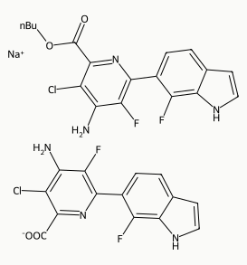 CCCCOC(=O)c1nc(-c2ccc3cc[nH]c3c2F)c(F)c(N)c1Cl.Nc1c(F)c(-c2ccc3cc[nH]c3c2F)nc(C(=O)[O-])c1Cl.[Na+]